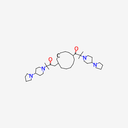 CC(C)(C(=O)CC1CCCCCC(C(=O)C(C)(C)N2CCC(N3CCCC3)CC2)CCCCC1)N1CCC(N2CCCC2)CC1